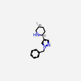 C[C@@H]1CC[C@@H](c2cnn(Cc3ccccc3)c2)NC1